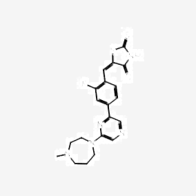 CN1CCCN(c2cncc(-c3ccc(C=C4SC(=S)NC4=O)c(F)c3)n2)CC1